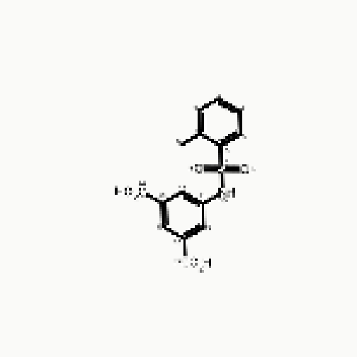 Cc1ccccc1S(=O)(=O)Nc1cc(C(=O)O)cc(C(=O)O)c1